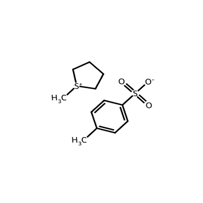 C[S+]1CCCC1.Cc1ccc(S(=O)(=O)[O-])cc1